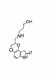 O=C1Cc2c(ccc3c2OC(CNCCCO)CO3)N1